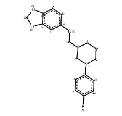 Fc1ccc(N2CCCC(COc3ccc4c(c3)OCO4)C2)cc1